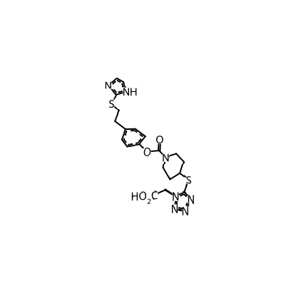 O=C(O)Cn1nnnc1SC1CCN(C(=O)Oc2ccc(CCSc3ncc[nH]3)cc2)CC1